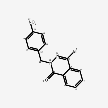 O=c1c2ccccc2c(Br)nn1Cc1ccc([N+](=O)[O-])cc1